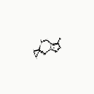 Cc1cnn2c1CCC1(CC1)C2